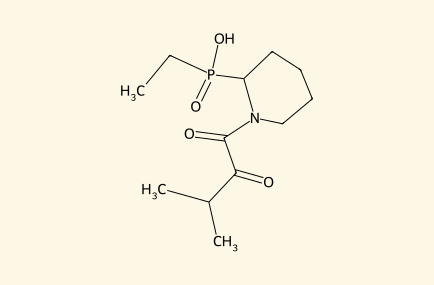 CCP(=O)(O)C1CCCCN1C(=O)C(=O)C(C)C